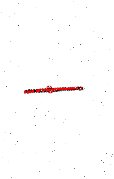 CCCCCCC=CCCCCCCCCCCCC(=O)OCCCCCCCCCCCCCCCCCCCCCCCC(C)C